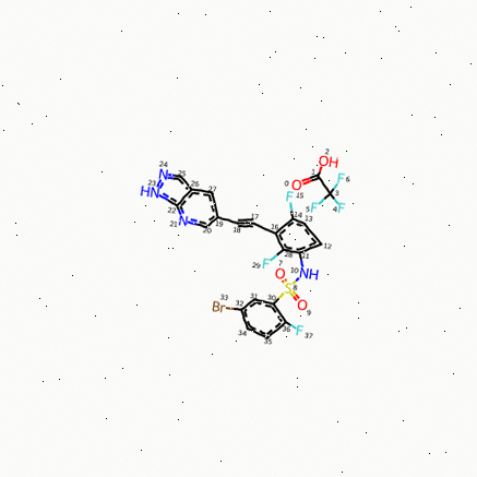 O=C(O)C(F)(F)F.O=S(=O)(Nc1ccc(F)c(C#Cc2cnc3[nH]ncc3c2)c1F)c1cc(Br)ccc1F